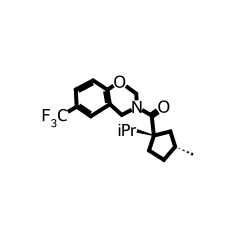 CC(C)[C@]1(C(=O)N2COc3ccc(C(F)(F)F)cc3C2)CC[C@@H](C)C1